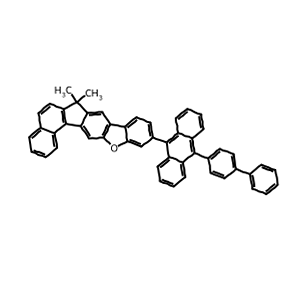 CC1(C)c2cc3c(cc2-c2c1ccc1ccccc21)oc1cc(-c2c4ccccc4c(-c4ccc(-c5ccccc5)cc4)c4ccccc24)ccc13